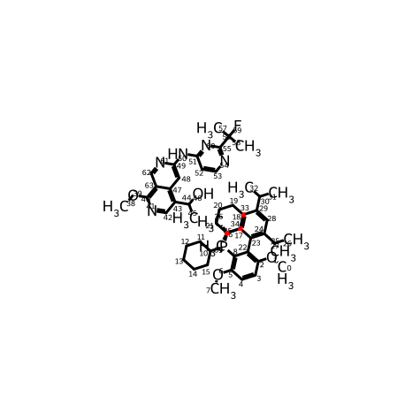 COc1ccc(OC)c(P(C2CCCCC2)C2CCCCC2)c1-c1c(C(C)C)cc(C(C)C)cc1C(C)C.COc1ncc(C(C)O)c2cc(Nc3ccnc(C(C)(C)F)n3)ncc12